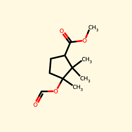 COC(=O)C1CCC(C)(OC=O)C1(C)C